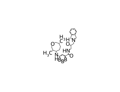 CC1CCC(Nc2bbbc(C(=O)NC[C@@H](O)CN3Cc4ccccc4C3)c2)C(C)COC1